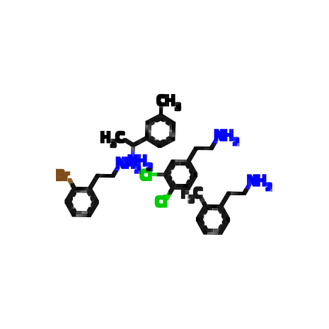 Cc1cccc(C(C)N)c1.NCCc1ccc(Cl)c(Cl)c1.NCCc1ccccc1Br.NCCc1ccccc1C(F)(F)F